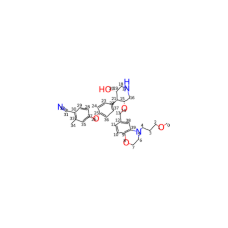 COCCCN1CCOc2ccc(CO[C@H]3CNC[C@@H](O)[C@@H]3c3ccc(Oc4ccc(C#N)c(C)c4)cc3)cc21